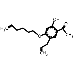 C=CCCCCOc1cc(O)c(C(C)=O)cc1CC=C